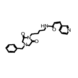 O=C(/C=C\c1cccnc1)NCCCCN1C(=O)CN(Cc2ccccc2)CC1=O